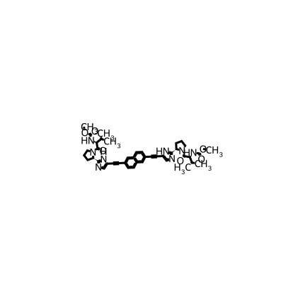 COC(=O)N[C@H](C(=O)N1CCC[C@H]1c1ncc(C#Cc2ccc3cc(C#Cc4cnc([C@@H]5CCCN5C(=O)[C@@H](NC(=O)OC)C(C)C)[nH]4)ccc3c2)[nH]1)C(C)C